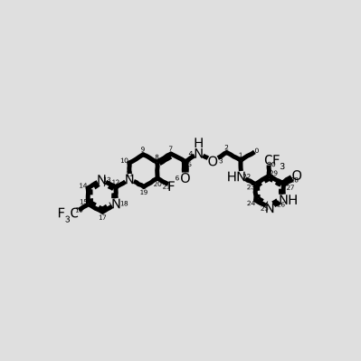 CC(CONC(=O)C=C1CCN(c2ncc(C(F)(F)F)cn2)CC1F)Nc1cn[nH]c(=O)c1C(F)(F)F